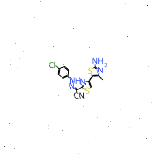 Cc1nc(N)sc1-c1csc(C(C#N)=NNc2ccc(Cl)cc2)n1